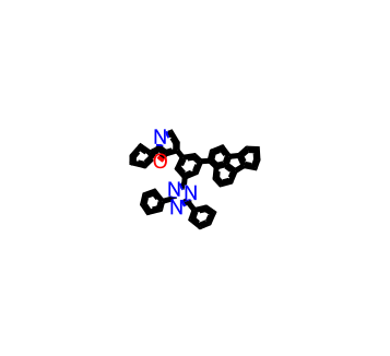 c1ccc(-c2nc(-c3ccccc3)nc(-c3cc(-c4ccc5c6c(cccc46)-c4ccccc4-5)cc(-c4ccnc5c4oc4ccccc45)c3)n2)cc1